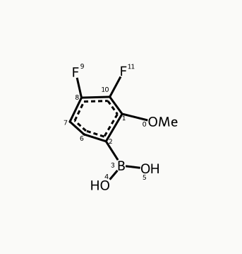 COc1c(B(O)O)ccc(F)c1F